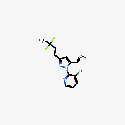 C=Cc1cc(CCC(C)(F)F)nn1-c1ncccc1Cl